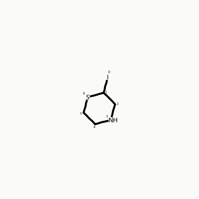 IC1CNCCS1